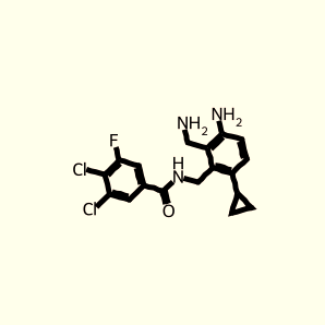 NCc1c(N)ccc(C2CC2)c1CNC(=O)c1cc(F)c(Cl)c(Cl)c1